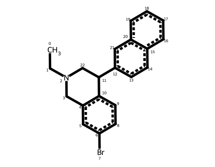 CCN1Cc2cc(Br)ccc2C(c2ccc3ccccc3c2)C1